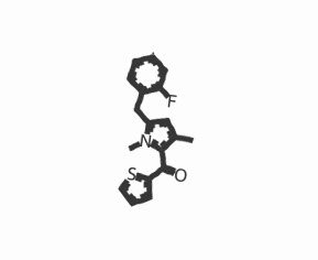 Cc1cc(Cc2cc[c]cc2F)n(C)c1C(=O)c1cccs1